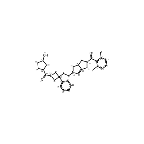 Cc1ncnc(C)c1C(=O)N1CC2=CN(CCC3(c4ccccc4)CN(C(=O)C4CCC(O)C4)C3)CC2C1